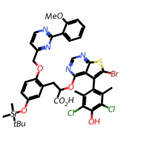 COc1ccccc1-c1nccc(COc2ccc(O[Si](C)(C)C(C)(C)C)cc2CC(Oc2ncnc3sc(Br)c(-c4c(C)c(Cl)c(O)c(Cl)c4C)c23)C(=O)O)n1